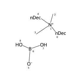 CCCCCCCCCC[N+](C)(C)CCCCCCCCCC.[O-]B(O)O